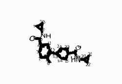 Cc1ccc(C(=O)NC2CC2)cc1-c1ccc(C(=O)NC2CC2)cc1